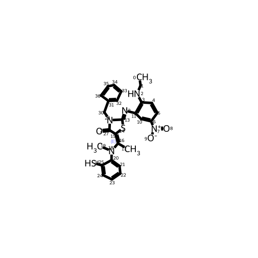 CCNc1ccc([N+](=O)[O-])cc1N=C1S/C(=C(\C)N(C)c2ccccc2S)C(=O)N1Cc1ccccc1